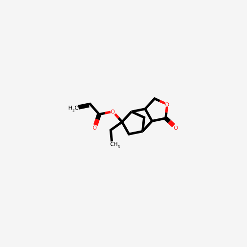 C=CC(=O)OC1(CC)CC2CC1C1COC(=O)C21